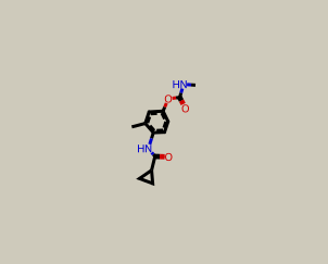 CNC(=O)Oc1ccc(NC(=O)C2CC2)c(C)c1